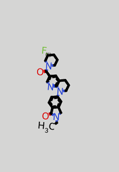 CCN1Cc2cc(N3CCCc4cc(C(=O)N5CCC[C@H](F)C5)cnc43)ccc2C1=O